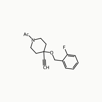 C#CC1(OCc2ccccc2F)CCN(C(C)=O)CC1